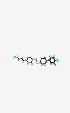 FCCC=C[C@H]1CC[C@H](CC[C@H]2CC[C@H](c3cc(F)c(F)c(F)c3)CC2)CC1